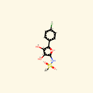 CC(C)S(=O)(=O)Nc1oc(-c2ccc(Cl)cc2)c(O)c1O